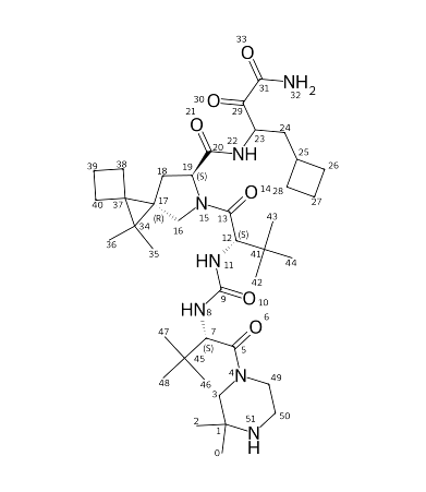 CC1(C)CN(C(=O)[C@@H](NC(=O)N[C@H](C(=O)N2C[C@]3(C[C@H]2C(=O)NC(CC2CCC2)C(=O)C(N)=O)C(C)(C)C32CCC2)C(C)(C)C)C(C)(C)C)CCN1